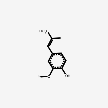 CCOc1cc(C=C(C)C(=O)O)ccc1O